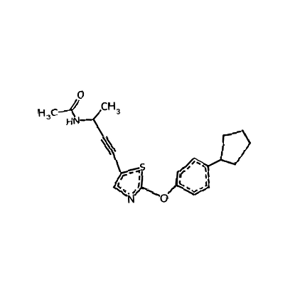 CC(=O)NC(C)C#Cc1cnc(Oc2ccc(C3CCCC3)cc2)s1